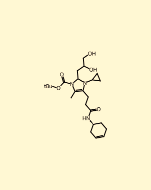 CC1=C(CCC(=O)N[C@@H]2CC=CCC2)N(C2CC2)C(CC(O)CO)N1C(=O)OC(C)(C)C